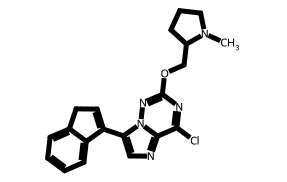 CN1CCCC1COc1nc(Cl)c2ncc(C3=CCc4ccccc43)n2n1